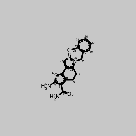 NC(=O)c1c(N)sc2c1CCc1c-2cnn1Cc1ccccc1Cl